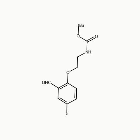 CC(C)(C)OC(=O)NCCOc1ccc(F)cc1C=O